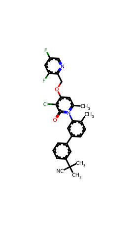 Cc1ccc(-c2cccc(C(C)(C)C#N)c2)cc1-n1c(C)cc(OCc2ncc(F)cc2F)c(Cl)c1=O